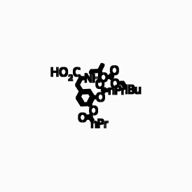 CCCC(=O)Oc1ccc(C[C@H](NCC(C)OC(=O)OCC(C)CC)C(=O)O)cc1OC(=O)CCC